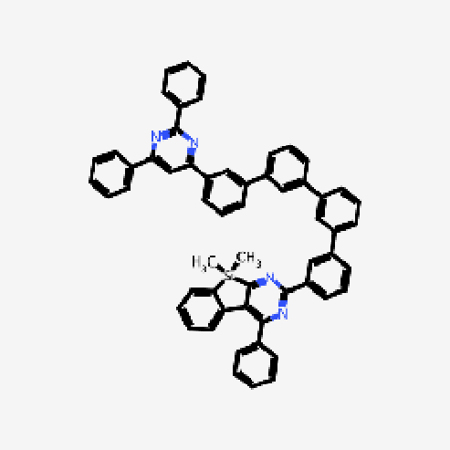 C[Si]1(C)c2ccccc2-c2c(-c3ccccc3)nc(-c3cccc(-c4cccc(-c5cccc(-c6cccc(-c7cc(-c8ccccc8)nc(-c8ccccc8)n7)c6)c5)c4)c3)nc21